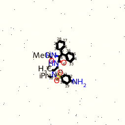 COC(=O)NC(C(=O)NCC(C)N(CC(C)C)S(=O)(=O)c1ccc(N)cc1)C(c1ccccc1)c1ccccc1